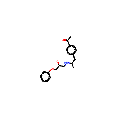 CC(=O)c1ccc(CC(C)NCC(O)COc2ccccc2)cc1